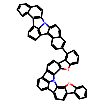 c1ccc2c(c1)ccc1c2c2cccc3c4c5ccc(-c6cccc7oc8c(ccc9c%10cccc%11c%12ccc%13c%14ccccc%14oc%13c%12n(c%11%10)c98)c67)cc5ccc4n1c23